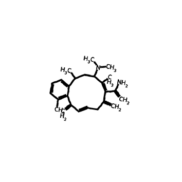 C=C(N)/C1=C(\C)C(N(C)C)CC(C)c2cccc(C)c2C(=C)/C=C/CC1=C